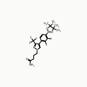 CC1(C)OB(c2ccc(-c3cn(CCCC(N)=O)nc3C(F)(F)F)c(F)c2F)OC1(C)C